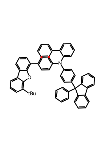 CC(C)(C)c1cccc2c1oc1c(-c3ccc(N(c4ccc(C5(c6ccccc6)c6ccccc6-c6ccccc65)cc4)c4ccccc4-c4ccccc4)cc3)cccc12